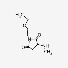 CCOCCN1C(=O)CC(NC)C1=O